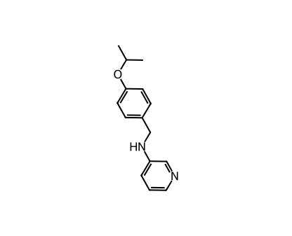 CC(C)Oc1ccc(CNc2cccnc2)cc1